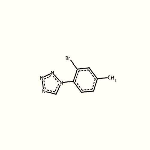 Cc1ccc(-n2cnnn2)c(Br)c1